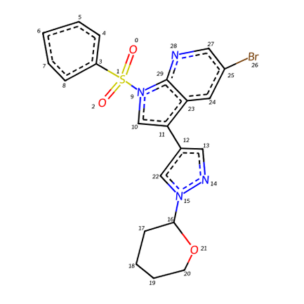 O=S(=O)(c1ccccc1)n1cc(-c2cnn(C3CCCCO3)c2)c2cc(Br)cnc21